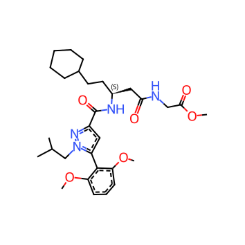 COC(=O)CNC(=O)C[C@H](CCC1CCCCC1)NC(=O)c1cc(-c2c(OC)cccc2OC)n(CC(C)C)n1